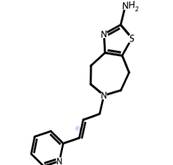 Nc1nc2c(s1)CCN(C/C=C/c1ccccn1)CC2